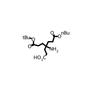 CCCCOC(=O)CCC(N)(CCC(=O)O)CCC(=O)OC(C)(C)C